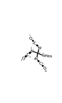 CCCCCCC(N=C=O)(N=C=O)N=C=O